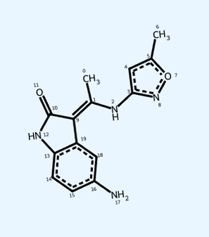 CC(Nc1cc(C)on1)=C1C(=O)Nc2ccc(N)cc21